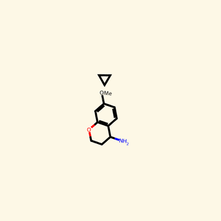 C1CC1.COc1ccc2c(c1)OCCC2N